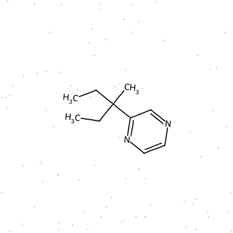 CCC(C)(CC)c1cnccn1